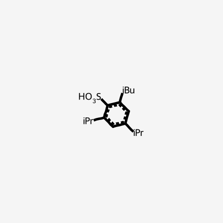 CCC(C)c1cc(C(C)C)cc(C(C)C)c1S(=O)(=O)O